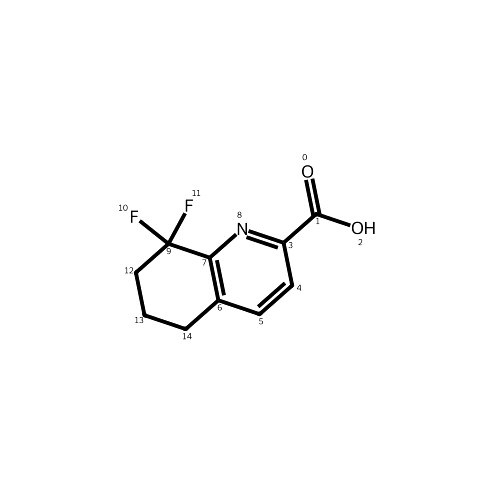 O=C(O)c1ccc2c(n1)C(F)(F)CCC2